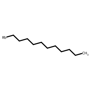 CCCCCCCCCC[CH2][Rb]